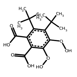 CC(C)(C)c1c(OO)c(OO)c(C(=O)O)c(C(=O)O)c1C(C)(C)C